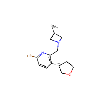 COC1CN(Cc2nc(S)ccc2[C@@H]2CCOC2)C1